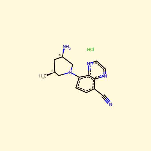 C[C@H]1C[C@@H](N)CN(c2ccc(C#N)c3nccnc23)C1.Cl